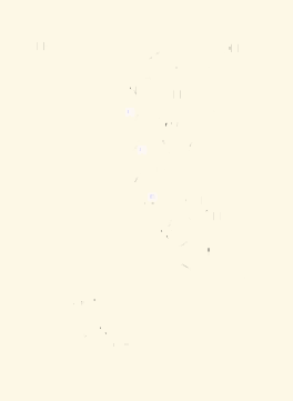 CC1(C)C(/C=C/C2=C(Oc3ccc(S(=O)(=O)O)cc3)C(=C/C=C3/N(CCCCS(=O)(=O)O)c4ccc(OS(=O)O)cc4C3(C)C)/CCC2)=[N+](CCCCCC(=O)ON2C(=O)CCC2=O)c2ccc(S(=O)(=O)O)cc21